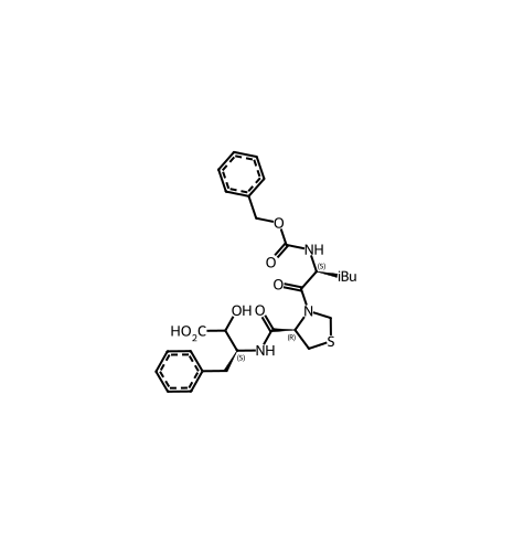 CCC(C)[C@H](NC(=O)OCc1ccccc1)C(=O)N1CSC[C@H]1C(=O)N[C@@H](Cc1ccccc1)C(O)C(=O)O